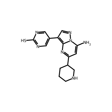 Nc1cc(C2CCCNC2)nc2c(-c3cnc(S)nc3)cnn12